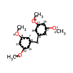 COc1cc([CH]c2cc(OC)cc(OC)c2)cc(OC)c1